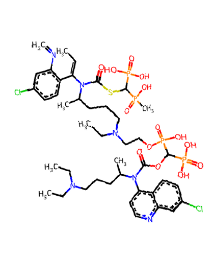 C=Nc1cc(Cl)ccc1/C(=C\C)N(C(=O)SC(P(C)(=O)O)P(=O)(O)O)C(C)CCCN(CC)CCOP(=O)(O)C(OC(=O)N(c1ccnc2cc(Cl)ccc12)C(C)CCCN(CC)CC)P(=O)(O)O